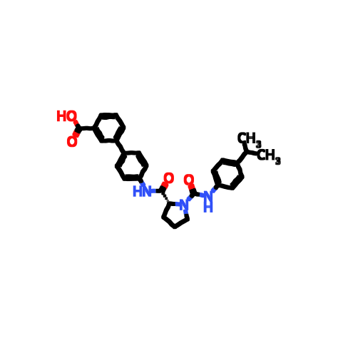 CC(C)c1ccc(NC(=O)N2CCC[C@@H]2C(=O)Nc2ccc(-c3cccc(C(=O)O)c3)cc2)cc1